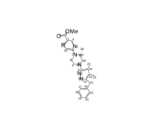 COC(=O)c1cnc(N2CCN(c3nnc(Cc4ccccc4)c(C)c3C)C[C@H]2C)cn1